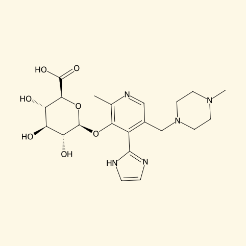 Cc1ncc(CN2CCN(C)CC2)c(-c2ncc[nH]2)c1O[C@@H]1O[C@H](C(=O)O)[C@@H](O)[C@H](O)[C@H]1O